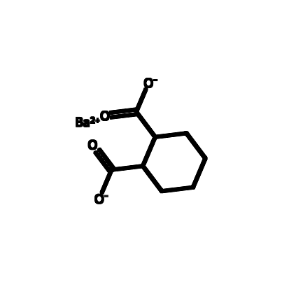 O=C([O-])C1CCCCC1C(=O)[O-].[Ba+2]